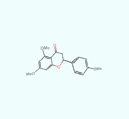 COc1ccc(C2CC(=O)c3c(OC)cc(OC)cc3O2)cc1